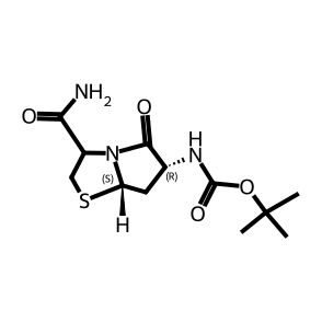 CC(C)(C)OC(=O)N[C@@H]1C[C@@H]2SCC(C(N)=O)N2C1=O